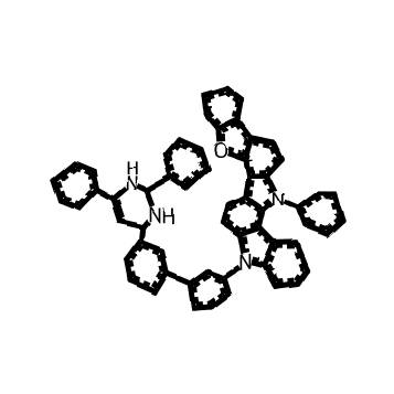 C1=C(c2ccccc2)NC(c2ccccc2)NC1c1cccc(-c2cccc(-n3c4ccccc4c4c3ccc3c5c6oc7ccccc7c6ccc5n(-c5ccccc5)c34)c2)c1